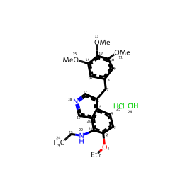 CCOc1ccc2c(Cc3cc(OC)c(OC)c(OC)c3)cncc2c1NCC(F)(F)F.Cl.Cl